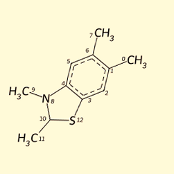 Cc1cc2c(cc1C)N(C)C(C)S2